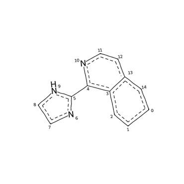 c1ccc2c(-c3ncc[nH]3)nccc2c1